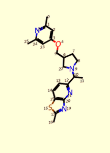 Cc1cc(OCC2CCN(C(C)c3ccc4sc(C)nc4n3)C2)cc(C)n1